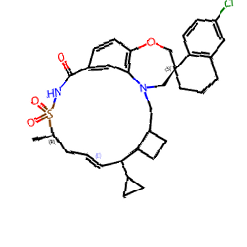 C[C@@H]1C/C=C/C(C2CC2)C2CCC2CN2C[C@@]3(CCCc4cc(Cl)ccc43)COc3ccc(cc32)C(=O)NS1(=O)=O